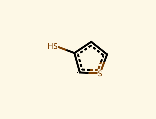 Sc1[c]scc1